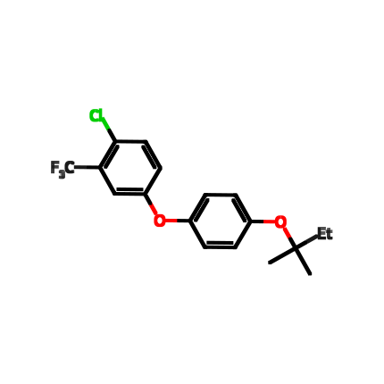 CCC(C)(C)Oc1ccc(Oc2ccc(Cl)c(C(F)(F)F)c2)cc1